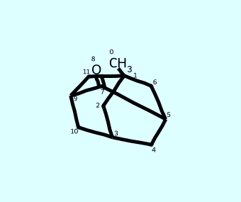 CC12CC3CC(C1)C(=O)C(C3)C2